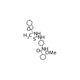 COc1ccccc1C(=O)Nc1ccc(NC(=S)NC(C)c2cc3ccccc3o2)cc1